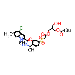 Cc1cc(Cl)c2cc(C(=O)N[C@H](C)c3ccc(S(=O)(=O)CC(=O)OCC(CO)COC(=O)C(C)(C)C)cc3)n(C)c2c1